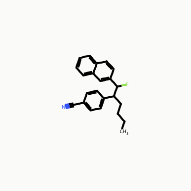 CCCCC(c1ccc(C#N)cc1)C(F)c1ccc2ccccc2c1